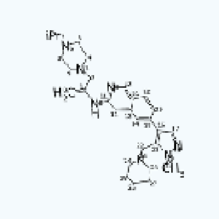 C=C(CN1CCN(C(C)C)CC1)Nc1cc2cc(-c3cnn(C)c3CN3CCCCC3)ccc2cn1